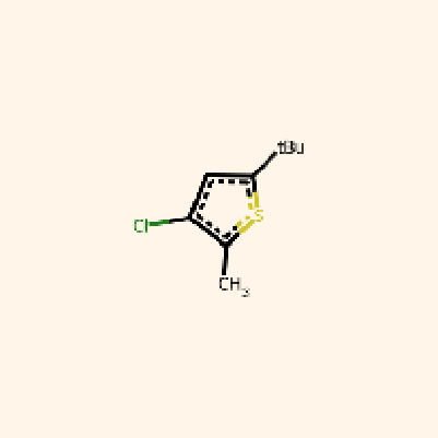 Cc1sc(C(C)(C)C)cc1Cl